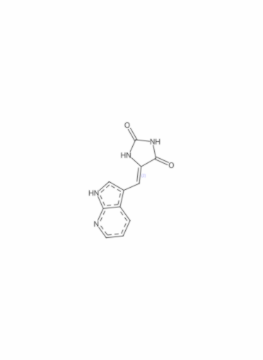 O=C1NC(=O)/C(=C/c2c[nH]c3ncccc23)N1